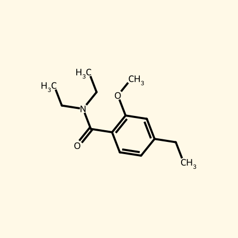 CCc1ccc(C(=O)N(CC)CC)c(OC)c1